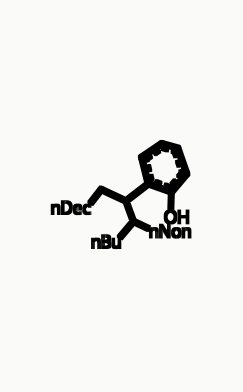 CCCCCCCCCCCC(c1ccccc1O)C(CCCC)CCCCCCCCC